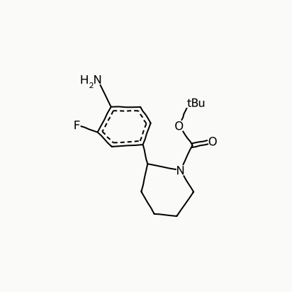 CC(C)(C)OC(=O)N1CCCCC1c1ccc(N)c(F)c1